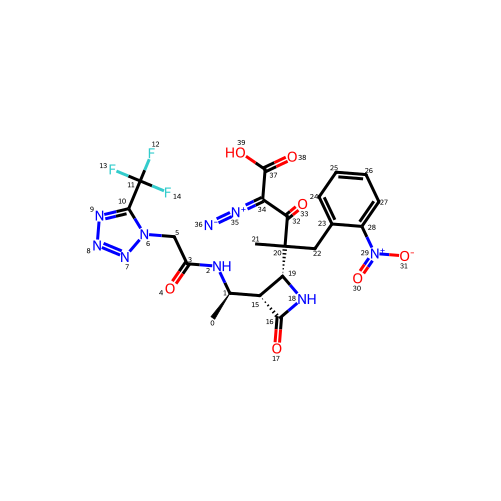 C[C@@H](NC(=O)Cn1nnnc1C(F)(F)F)[C@H]1C(=O)N[C@H]1C(C)(Cc1ccccc1[N+](=O)[O-])C(=O)C(=[N+]=[N-])C(=O)O